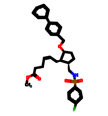 COC(=O)CC/C=C\C[C@@H]1[C@@H](CNS(=O)(=O)c2ccc(F)cc2)CC[C@@H]1OCc1ccc(-c2ccccc2)cc1